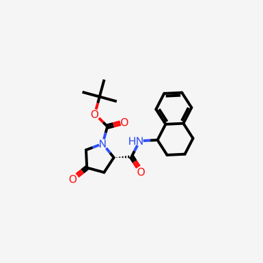 CC(C)(C)OC(=O)N1CC(=O)C[C@H]1C(=O)NC1CCCc2ccccc21